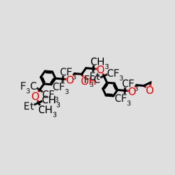 CCC(C)(C)OC(c1cccc(C(OCC(O)CC(C)(CC)OC(c2cccc(C(OCC3CO3)(C(F)(F)F)C(F)(F)F)c2)(C(F)(F)F)C(F)(F)F)(C(F)(F)F)C(F)(F)F)c1)(C(F)(F)F)C(F)(F)F